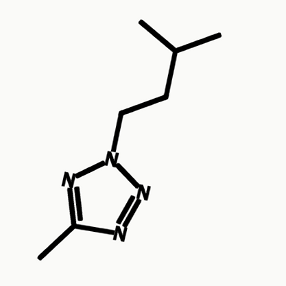 Cc1nnn(CCC(C)C)n1